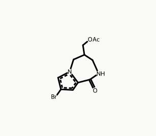 CC(=O)OCC1CNC(=O)c2cc(Br)cn2C1